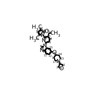 CC(=O)c1ccc(-n2cnc3ccc(OC4CCN(C5COC5)CC4)cc32)nc1-n1nc(C)cc1C